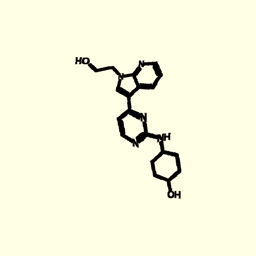 OCCn1cc(-c2ccnc(NC3CCC(O)CC3)n2)c2cccnc21